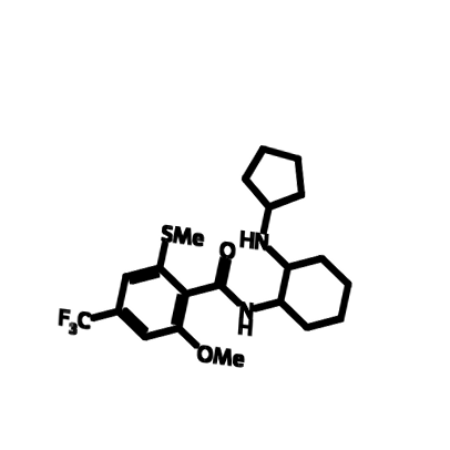 COc1cc(C(F)(F)F)cc(SC)c1C(=O)NC1CCCCC1NC1CCCC1